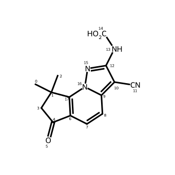 CC1(C)CC(=O)c2ccc3c(C#N)c(NC(=O)O)nn3c21